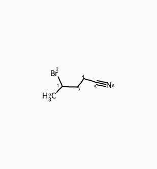 CC(Br)CCC#N